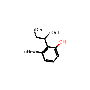 CCCCCCCCCCCC(CCCCCCCC)c1c(O)cccc1CCCCCC